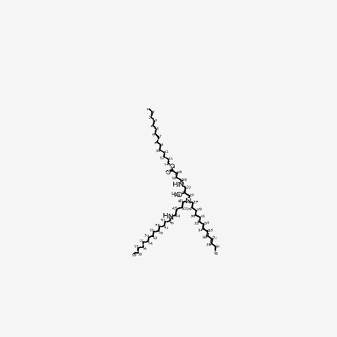 CCCCCCCCCCCCCCCOC(=O)CCCNCC(O)CN(CCCCCCCCCCCCCC)CCCCNCCCCCCCCCCCCCC